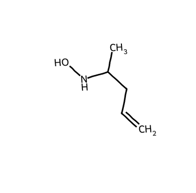 C=CCC(C)NO